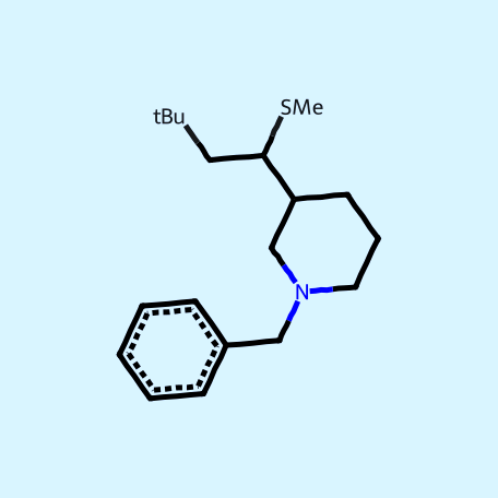 CSC(CC(C)(C)C)C1CCCN(Cc2ccccc2)C1